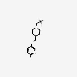 FC(F)(F)C(F)(F)CN1CCC(COc2ccc(Br)nc2)CC1